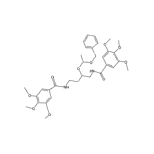 COc1cc(C(=O)NCCC(CNC(=O)c2cc(OC)c(OC)c(OC)c2)OC(C)OCc2ccccc2)cc(OC)c1OC